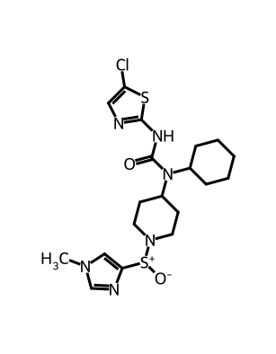 Cn1cnc([S+]([O-])N2CCC(N(C(=O)Nc3ncc(Cl)s3)C3CCCCC3)CC2)c1